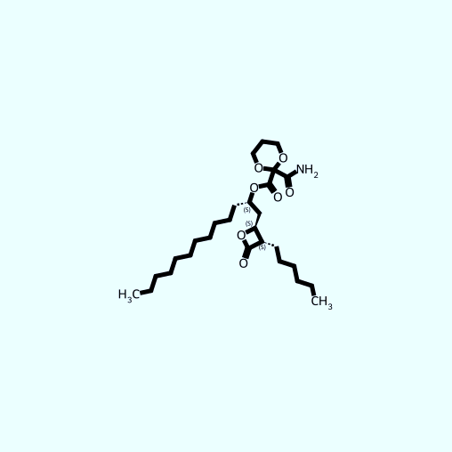 CCCCCCCCCCC[C@@H](C[C@@H]1OC(=O)[C@H]1CCCCCC)OC(=O)C1(C(N)=O)OCCCO1